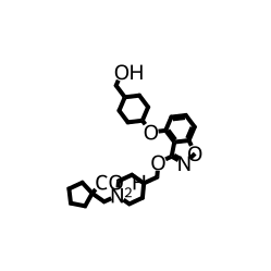 O=C(O)C1(CN2CCC(COc3noc4cccc(OC5CCC(CO)CC5)c34)CC2)CCCC1